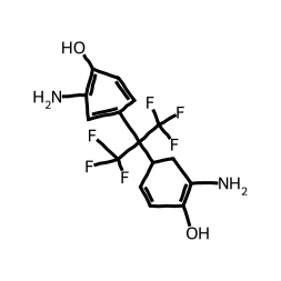 NC1=C(O)C=CC(C(c2ccc(O)c(N)c2)(C(F)(F)F)C(F)(F)F)C1